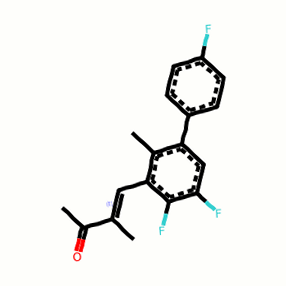 CC(=O)/C(C)=C/c1c(C)c(-c2ccc(F)cc2)cc(F)c1F